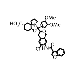 CO[C@H]1CN(C(O[C@H]2CC[C@H](C(=O)O)CC2)(C(=O)Cc2cc(Cl)c(NC(=O)c3coc4ccccc34)cc2F)N2CCCC2)C[C@H]1OC